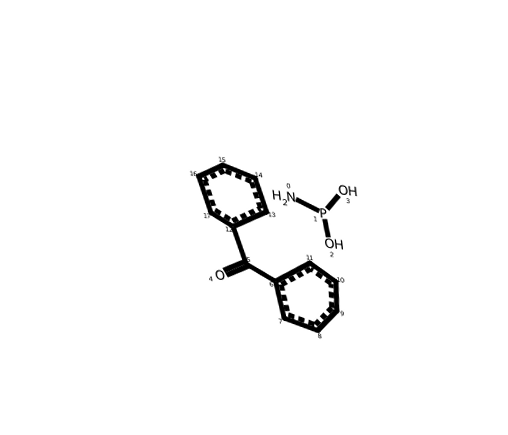 NP(O)O.O=C(c1ccccc1)c1ccccc1